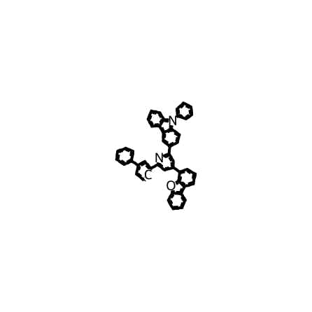 c1ccc(-c2cccc(-c3cc(-c4cccc5c4oc4ccccc45)cc(-c4ccc5c(c4)c4ccccc4n5-c4ccccc4)n3)c2)cc1